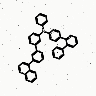 c1ccc(-c2ccccc2-c2ccc(N(c3ccccc3)c3cccc(-c4cccc(-c5cccc6ccccc56)c4)c3)cc2)cc1